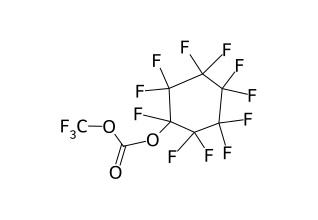 O=C(OC(F)(F)F)OC1(F)C(F)(F)C(F)(F)C(F)(F)C(F)(F)C1(F)F